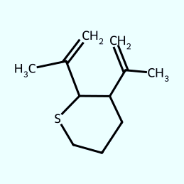 C=C(C)C1CCCSC1C(=C)C